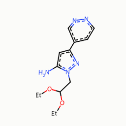 CCOC(Cn1nc(-c2ccnnc2)cc1N)OCC